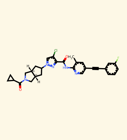 Cc1cc(C#Cc2cccc(F)c2)cnc1NC(=O)c1nn(C2C[C@@H]3CN(C(=O)C4CC4)C[C@@H]3C2)cc1Cl